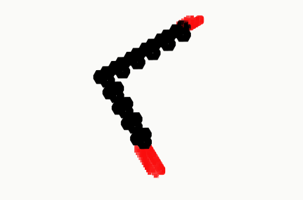 C1=Cc2cccc3cccc(c23)C1.C1=Cc2cccc3cccc(c23)C1.C1=Cc2cccc3cccc(c23)C1.C1=Cc2cccc3cccc(c23)C1.C1=Cc2cccc3cccc(c23)C1.C1=Cc2cccc3cccc(c23)C1.C1=Cc2cccc3cccc(c23)C1.C1=Cc2cccc3cccc(c23)C1.C1=Cc2cccc3cccc(c23)C1.C1=Cc2cccc3cccc(c23)C1.O.O.O.O.O.O.O.O.O.O.O.O.O.O.O